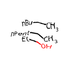 CCCCC.CCCCCC.CCO